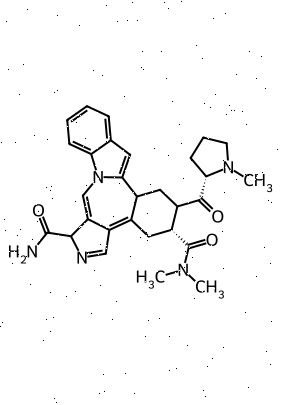 CN(C)C(=O)[C@@H]1CC2=C3C=NC(C(N)=O)C3=Cn3c(cc4ccccc43)C2CC1C(=O)[C@@H]1CCCN1C